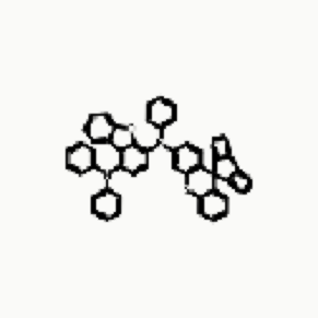 c1ccc(N(c2ccc3c(c2)Sc2ccccc2C32c3ccccc3-c3ccccc32)c2ccc(N(c3ccccc3)c3ccccc3)c3c2oc2ccccc23)cc1